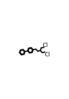 ClCCC(CCCl)CCc1ccc(-c2ccccc2)cc1